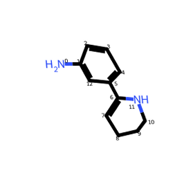 Nc1cccc(C2=CCCCN2)c1